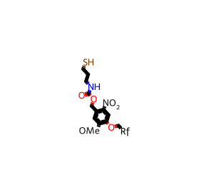 COc1cc(COC(=O)NCCCS)c([N+](=O)[O-])cc1O[CH2][Rf]